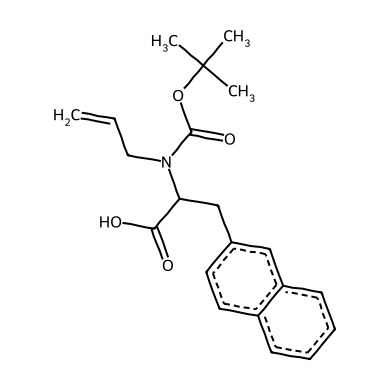 C=CCN(C(=O)OC(C)(C)C)C(Cc1ccc2ccccc2c1)C(=O)O